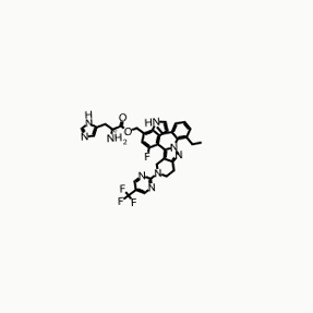 CCc1cccc(CC)c1-n1nc2c(c1-c1c(F)cc(COC(=O)[C@@H](N)Cc3cnc[nH]3)c3[nH]ccc13)CN(c1ncc(C(F)(F)F)cn1)CC2